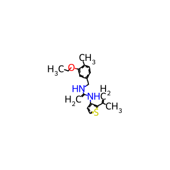 C=C(NCc1ccc(C)c(OCC)c1)Nc1ccsc1C(=C)C